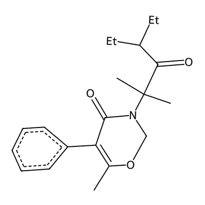 CCC(CC)C(=O)C(C)(C)N1COC(C)=C(c2ccccc2)C1=O